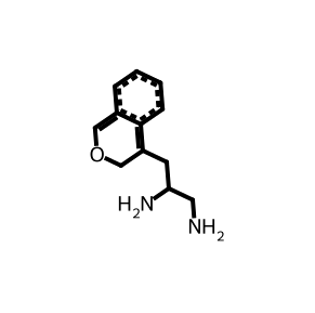 NCC(N)CC1=c2ccccc2=COC1